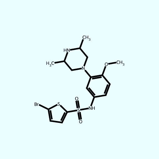 COc1ccc(NS(=O)(=O)c2ccc(Br)s2)cc1N1CC(C)NC(C)C1